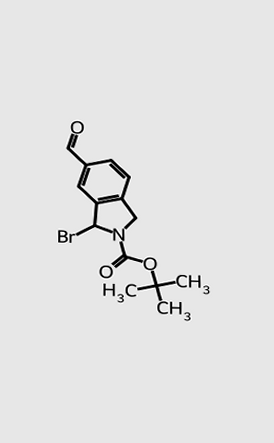 CC(C)(C)OC(=O)N1Cc2ccc(C=O)cc2C1Br